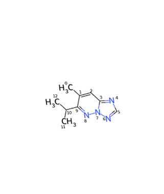 Cc1cc2ncnn2nc1C(C)C